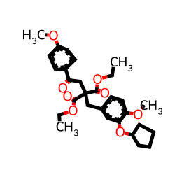 CCOC(=O)C(CC(=O)c1ccc(OC)cc1)(Cc1ccc(OC)c(OC2CCCC2)c1)C(=O)OCC